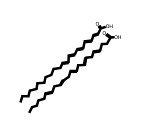 CCCCCC=CCC=CCC=CCC=CCC=CCCC(=O)O.CCCCCCCCCCCC=CC=CC=CC=CC=CC(=O)O